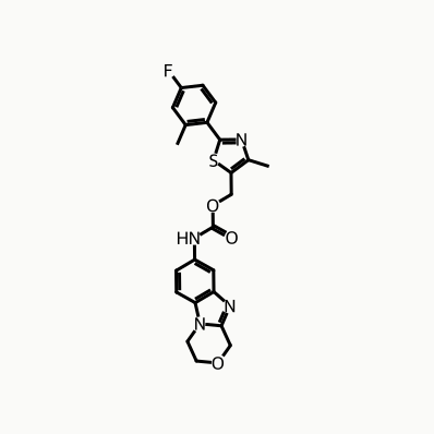 Cc1cc(F)ccc1-c1nc(C)c(COC(=O)Nc2ccc3c(c2)nc2n3CCOC2)s1